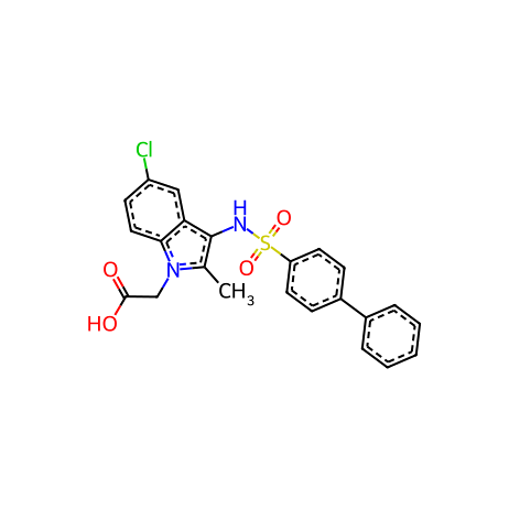 Cc1c(NS(=O)(=O)c2ccc(-c3ccccc3)cc2)c2cc(Cl)ccc2n1CC(=O)O